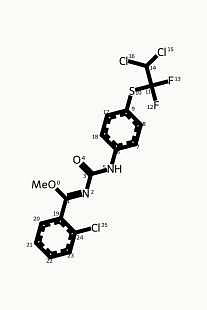 CO/C(=N\C(=O)Nc1ccc(SC(F)(F)C(Cl)Cl)cc1)c1ccccc1Cl